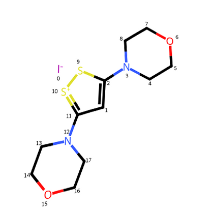 [I-].c1c(N2CCOCC2)s[s+]c1N1CCOCC1